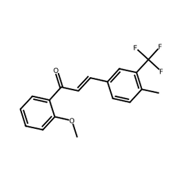 COc1ccccc1C(=O)/C=C/c1ccc(C)c(C(F)(F)F)c1